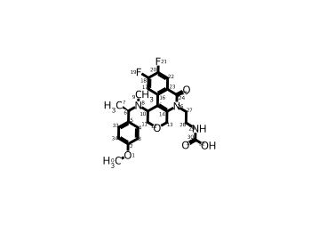 COc1ccc([C@@H](C)N(C)C2COCc3c2c2cc(F)c(F)cc2c(=O)n3CCNC(=O)O)cc1